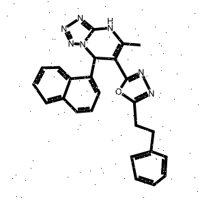 CC1=C(c2nnc(CCc3ccccc3)o2)C(c2cccc3ccccc23)n2nnnc2N1